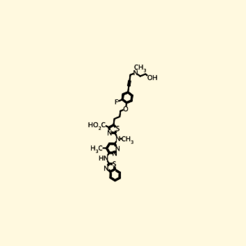 Cc1cc(N(C)c2nc(C(=O)O)c(CCCOc3ccc(C#CCN(C)CCO)cc3F)s2)nnc1Nc1nc2ccccc2s1